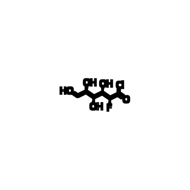 O=C(Cl)[C@H](F)[C@@H](O)[C@H](O)[C@H](O)CO